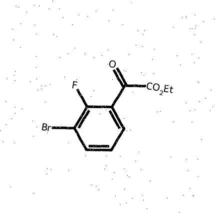 CCOC(=O)C(=O)c1cccc(Br)c1F